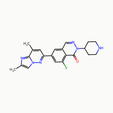 Cc1cn2nc(-c3cc(F)c4c(=O)n(C5CCNCC5)ncc4c3)cc(C)c2n1